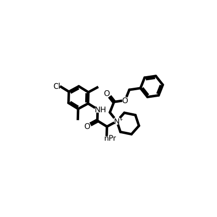 CCCC(C(=O)Nc1c(C)cc(Cl)cc1C)[N+]1(CC(=O)OCc2ccccc2)CCCCC1